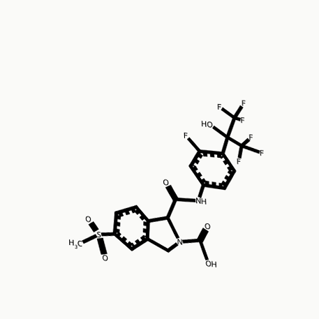 CS(=O)(=O)c1ccc2c(c1)CN(C(=O)O)C2C(=O)Nc1ccc(C(O)(C(F)(F)F)C(F)(F)F)c(F)c1